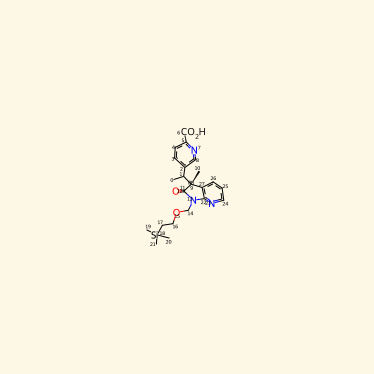 CC(c1ccc(C(=O)O)nc1)[C@@]1(C)C(=O)N(COCC[Si](C)(C)C)c2ncccc21